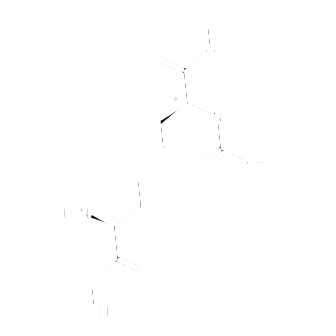 COC(=O)[C@H](CSSC[C@H](N)C(=O)OC)NC(C)=O